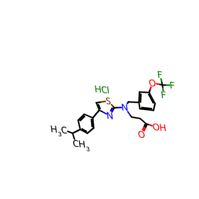 CC(C)c1ccc(-c2csc(N(CCC(=O)O)Cc3cccc(OC(F)(F)F)c3)n2)cc1.Cl